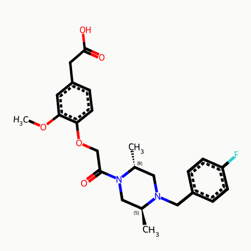 COc1cc(CC(=O)O)ccc1OCC(=O)N1C[C@H](C)N(Cc2ccc(F)cc2)C[C@H]1C